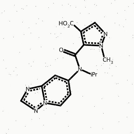 CC(C)N(C(=O)c1c(C(=O)O)cnn1C)c1ccn2ncnc2c1